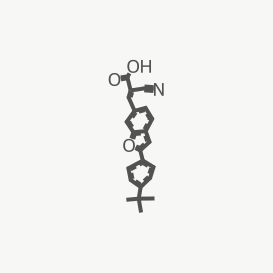 CC(C)(C)c1ccc(-c2cc3ccc(/C=C(\C#N)C(=O)O)cc3o2)cc1